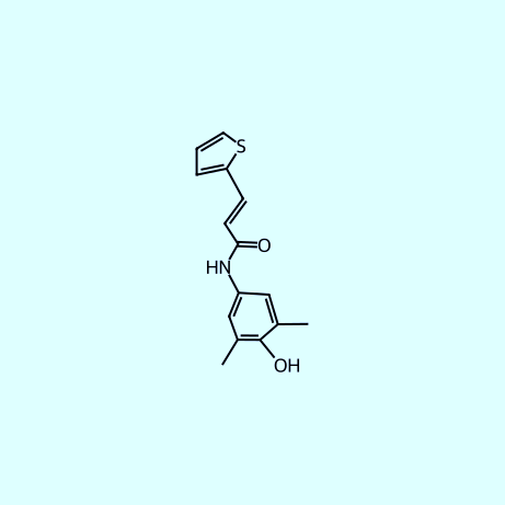 Cc1cc(NC(=O)/C=C/c2cccs2)cc(C)c1O